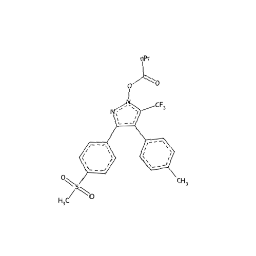 CCCC(=O)On1nc(-c2ccc(S(C)(=O)=O)cc2)c(-c2ccc(C)cc2)c1C(F)(F)F